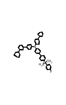 C[Si](C)(c1ccc(F)cc1)c1ccc(-c2ccc(N(c3ccc(-c4ccccc4)cc3)c3ccc(-c4cccc(-c5ccccc5)c4)cc3)cc2)cc1